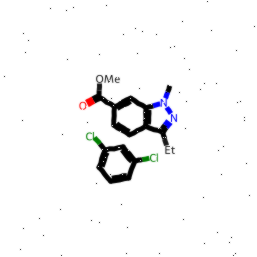 CCc1nn(C)c2cc(C(=O)OC)ccc12.Clc1cccc(Cl)c1